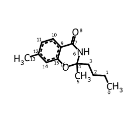 CCCCC1(C)NC(=O)c2ccc(C)cc2O1